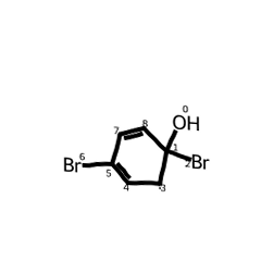 OC1(Br)[CH]C=C(Br)C=C1